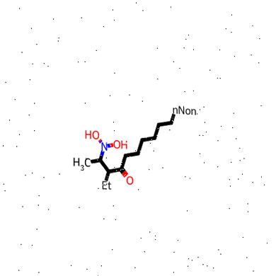 CCCCCCCCCCCCCCCC(=O)C(CC)C(C)N(O)O